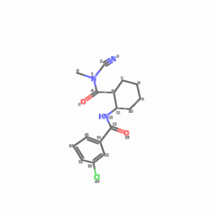 CN(C#N)C(=O)C1CCCCC1NC(=O)c1cccc(Cl)c1